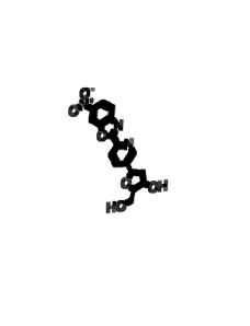 O=[N+]([O-])c1ccc2nc(-c3ccc([C@H]4CC(O)[C@@H](CO)O4)cn3)oc2c1